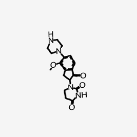 COc1c(N2CCNCC2)ccc2c1CC(N1CCC(=O)NC1=O)C2=O